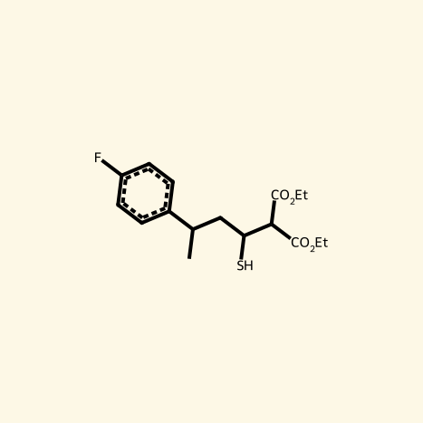 CCOC(=O)C(C(=O)OCC)C(S)CC(C)c1ccc(F)cc1